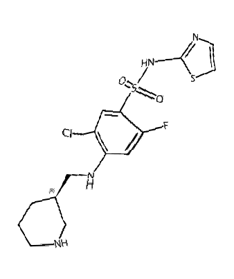 O=S(=O)(Nc1nccs1)c1cc(Cl)c(NC[C@@H]2CCCNC2)cc1F